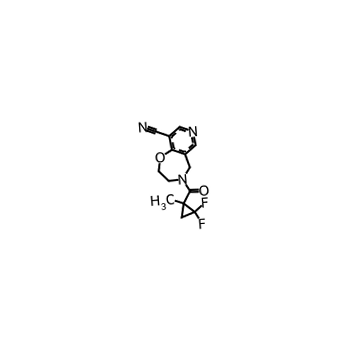 CC1(C(=O)N2CCOc3c(C#N)cncc3C2)CC1(F)F